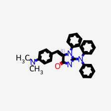 CN(C)c1ccc(/C=C2\C(=O)N=C(N(c3ccccc3)c3ccccc3)N2c2ccccc2)cc1